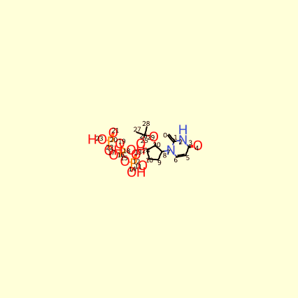 C=C1NC(=O)C=CN1C1CC(OP(=O)(O)OP(=O)(O)OP(=O)(O)O)C2OC(C)(C)OC21